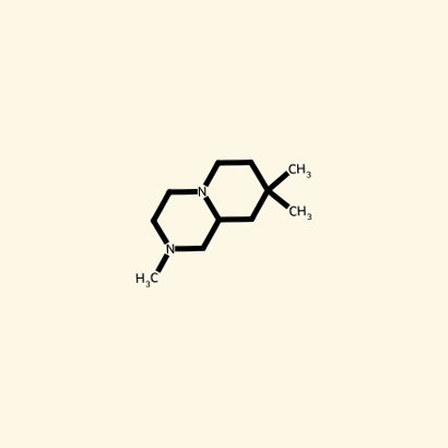 CN1CCN2CCC(C)(C)CC2C1